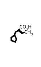 CC=C(CC1CCCC1)C(=O)O